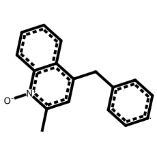 Cc1cc(Cc2cc[c]cc2)c2ccccc2[n+]1[O-]